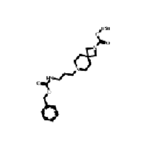 CCCCOC(=O)N1CC2(CCN(CCCNC(=O)OCc3ccccc3)CC2)C1